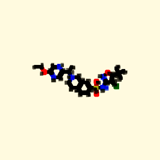 CCOc1cnc([C@@H](C)N2CCc3ccc(S(=O)(=O)Nc4noc(C(C)(C)C)c4Cl)cc3C2)cn1